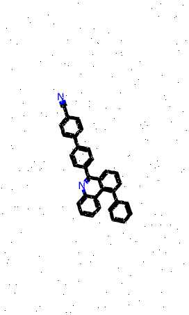 N#Cc1ccc(-c2ccc(-c3nc4ccccc4c4c(-c5ccccc5)cccc34)cc2)cc1